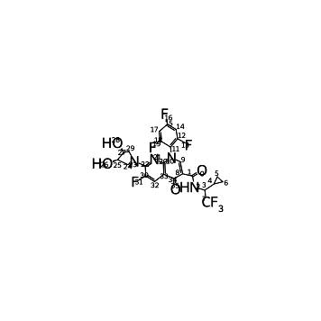 O=C(NC(C1CC1)C(F)(F)F)c1cn(-c2c(F)cc(F)cc2F)c2nc(N3C[C@@H](O)[C@@H](O)C3)c(F)cc2c1=O